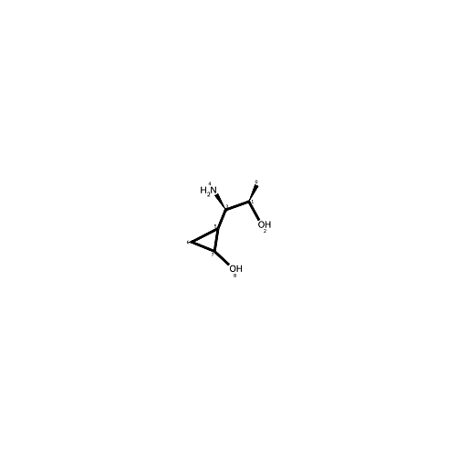 C[C@@H](O)[C@H](N)C1CC1O